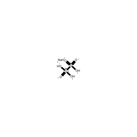 O=S(=O)(O)[SH](=O)(O)O.[NaH]